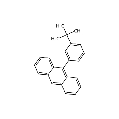 CC(C)(C)c1cccc(-c2c3ccccc3cc3ccccc23)c1